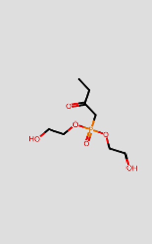 CCC(=O)CP(=O)(OCCO)OCCO